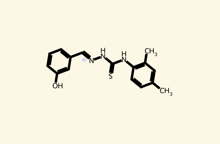 Cc1ccc(NC(=S)N/N=C/c2cccc(O)c2)c(C)c1